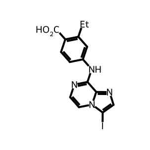 CCc1cc(Nc2nccn3c(I)cnc23)ccc1C(=O)O